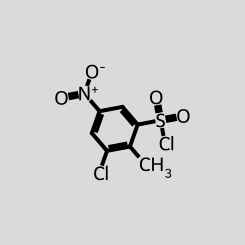 Cc1c(Cl)cc([N+](=O)[O-])cc1S(=O)(=O)Cl